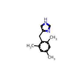 Cc1cc(C)c(Cc2c[nH]cn2)c(C)c1